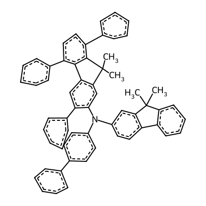 CC1(C)c2ccccc2-c2ccc(N(c3ccc(-c4ccccc4)cc3)c3cc4c(cc3-c3ccccc3)-c3c(-c5ccccc5)ccc(-c5ccccc5)c3C4(C)C)cc21